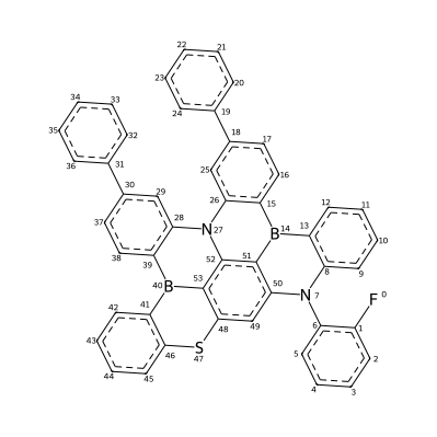 Fc1ccccc1N1c2ccccc2B2c3ccc(-c4ccccc4)cc3N3c4cc(-c5ccccc5)ccc4B4c5ccccc5Sc5cc1c2c3c54